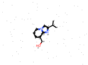 CC(C)c1cn2cccc(CO)c2n1